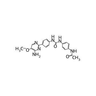 CCOc1cnc(-c2ccc(NC(=O)Nc3ccc(NC(C)=O)cc3)cc2)nc1N